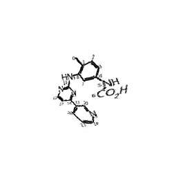 Cc1ccc(NC(=O)O)cc1Nc1nccc(-c2cccnc2)n1